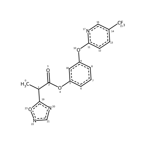 CC(C(=O)Oc1cccc(Oc2ccc(C(F)(F)F)cn2)c1)c1ncno1